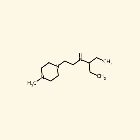 CCC(CC)NCCN1CCN(C)CC1